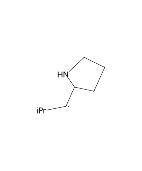 CC(C)[CH]C1CCCN1